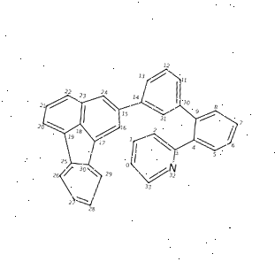 c1ccc(-c2ccccc2-c2cccc(-c3cc4c5c(cccc5c3)-c3ccccc3-4)c2)nc1